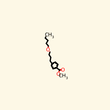 CCCCCOCCCCc1ccc(C(=O)OC)cc1